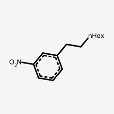 CCCCCCCCc1cc[c]c([N+](=O)[O-])c1